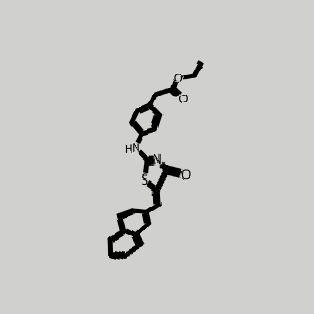 CCOC(=O)Cc1ccc(NC2=NC(=O)/C(=C/c3ccc4ccccc4c3)S2)cc1